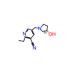 CCc1ncc(CN2CC[C@@H](O)C2)cc1C#N